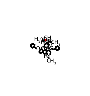 CCCN1CCC[C@@H]2Cc3c(ccc(OCc4ccccc4)c3C[C@@H]3O[C@H](C(=O)OCc4ccccc4)[C@@H](OC(C)=O)[C@H](OC(C)=O)[C@H]3OC(C)=O)C[C@H]21